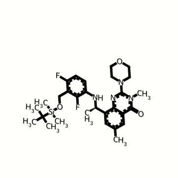 Cc1cc([C@@H](C)Nc2ccc(F)c(CO[Si](C)(C)C(C)(C)C)c2F)c2nc(N3CCOCC3)n(C)c(=O)c2c1